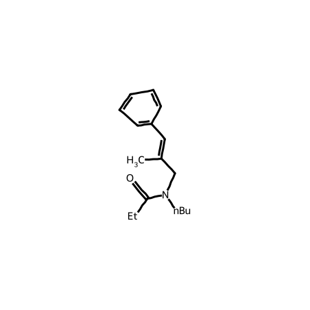 CCCCN(C/C(C)=C/c1ccccc1)C(=O)CC